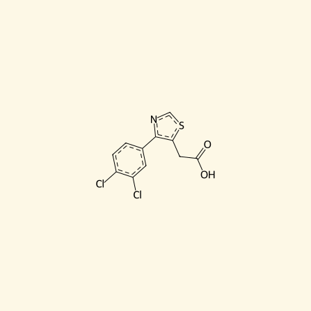 O=C(O)Cc1scnc1-c1ccc(Cl)c(Cl)c1